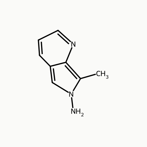 Cc1c2ncccc2cn1N